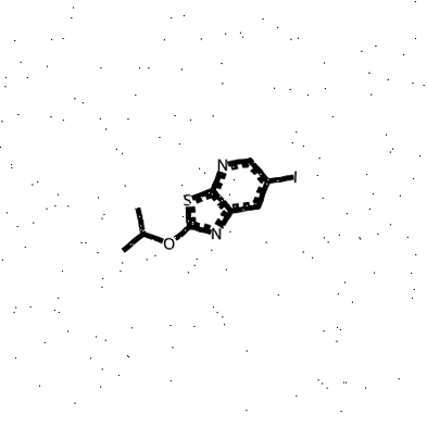 CC(C)Oc1nc2cc(I)cnc2s1